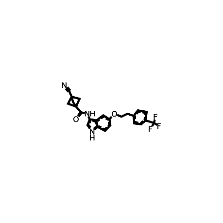 N#CC12CC(C(=O)Nc3c[nH]c4ccc(OCCc5ccc(C(F)(F)F)cc5)cc34)(C1)C2